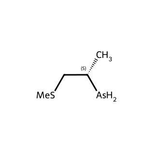 CSC[C@H](C)[AsH2]